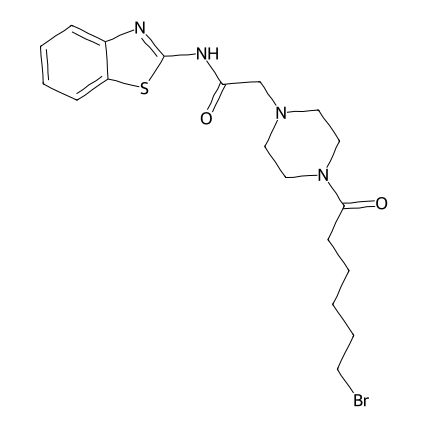 O=C(CN1CCN(C(=O)CCCCCBr)CC1)Nc1nc2ccccc2s1